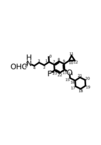 CC(CCCNC=O)c1cc(C2CC2)c(OCC2CCCCC2)cc1F